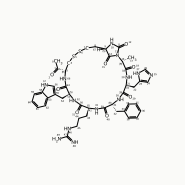 CC(=O)[C@@H]1CSSCC[C@@H]2NC(=O)N(C2=O)[C@H](C)C(=O)N[C@@H](Cc2cnc[nH]2)C(=O)N[C@H](Cc2ccccc2)C(=O)N[C@@H](CCCNC(=N)N)C(=O)N[C@@H](Cc2c[nH]c3ccccc23)C(=O)N1